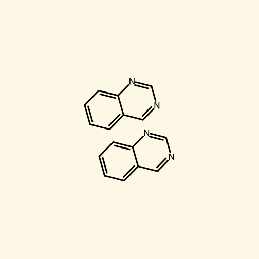 c1ccc2ncncc2c1.c1ccc2ncncc2c1